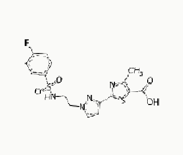 Cc1nc(-c2ccn(CCNS(=O)(=O)c3ccc(F)cc3)n2)sc1C(=O)O